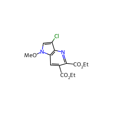 CCOC(=O)c1cc2c(nc1C(=O)OCC)c(Cl)cn2OC